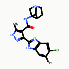 Cc1[nH]nc(-c2nc3cc(Cl)c(C(C)C)cc3[nH]2)c1C(=O)NC1CN2CCC1CC2